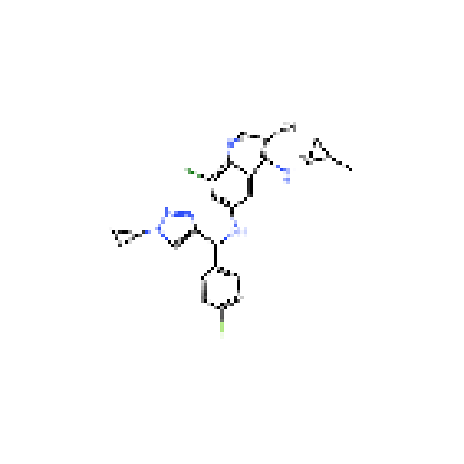 CC1C[C@H]1Nc1c(C#N)cnc2c(Cl)cc(NC(c3ccc(F)cc3)c3cn(C4CC4)nn3)cc12